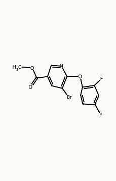 COC(=O)c1cnc(Oc2ccc(F)cc2F)c(Br)c1